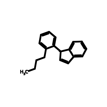 CCCCc1ccccc1[C]1C=Cc2ccccc21